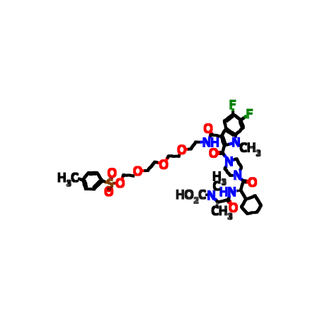 Cc1ccc(S(=O)(=O)OCCOCCOCCOCCNC(=O)c2c(C(=O)N3CCN(C(=O)[C@@H](NC(=O)[C@H](C)N(C)C(=O)O)C4CCCCC4)CC3)n(C)c3cc(F)c(F)cc23)cc1